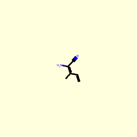 C=C/C(C)=C(/N)C#N